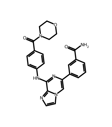 NC(=O)c1cccc(-c2cn3ccnc3c(Nc3ccc(C(=O)N4CCOCC4)cc3)n2)c1